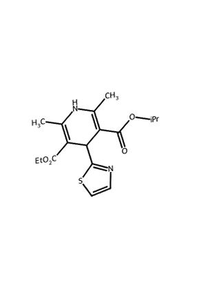 CCOC(=O)C1=C(C)NC(C)=C(C(=O)OC(C)C)C1c1nccs1